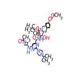 COCOc1ccc2c(c1)CN(C(=O)OC(C)(C)C)[C@H]([C@H](O)CNC(=O)c1cc(NC3CN(C(C)=O)C3)nc(N3CCN(C(C)C)CC3)n1)C2